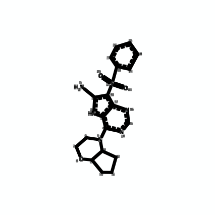 Nc1[nH]c2c(N3CCOC4CCCC43)ncnc2c1S(=O)(=O)c1ccccc1